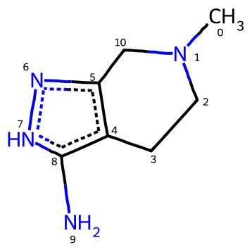 CN1CCc2c(n[nH]c2N)C1